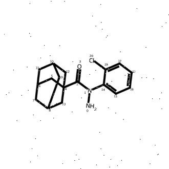 NN(C(=O)C12CC3CC(CC(C3)C1)C2)c1ccccc1Cl